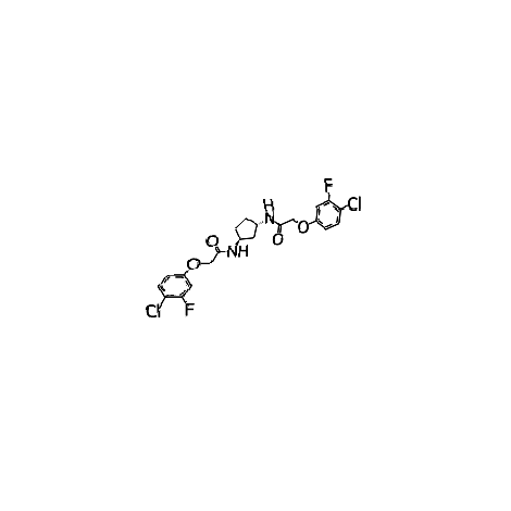 O=C(COc1ccc(Cl)c(F)c1)N[C@H]1CC[C@H](NC(=O)COc2ccc(Cl)c(F)c2)C1